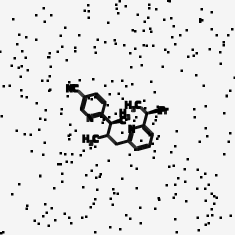 CC(C)[C@H](C)c1cccc(CC(C)[C@H](C)c2ccc(C#N)cn2)n1